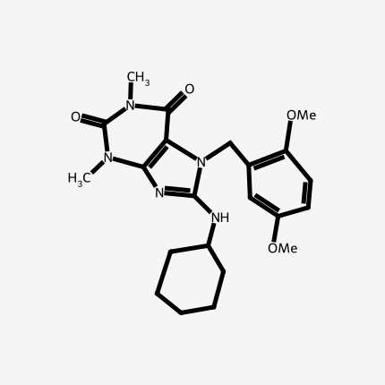 COc1ccc(OC)c(Cn2c(NC3CCCCC3)nc3c2c(=O)n(C)c(=O)n3C)c1